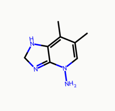 CC1=CN(N)C2=NCNC2=C1C